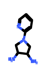 NC1CN(c2ccccn2)CC1N